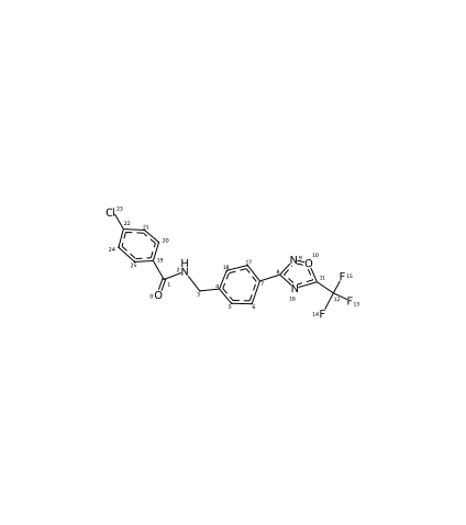 O=C(NCc1ccc(-c2noc(C(F)(F)F)n2)cc1)c1ccc(Cl)cc1